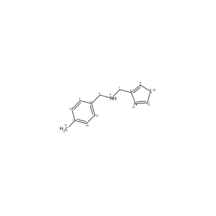 Cc1ccc(CNCc2cs[c]n2)cc1